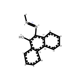 C/N=N/c1c(O)c2ccccc2c2ccccc12